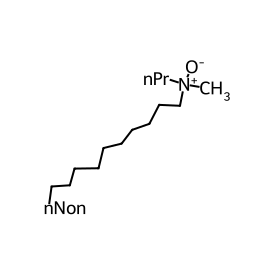 CCCCCCCCCCCCCCCCCCC[N+](C)([O-])CCC